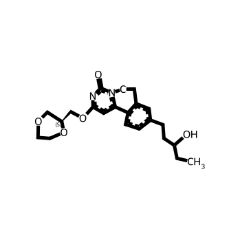 CCC(O)CCc1ccc2c(c1)CCn1c-2cc(OC[C@@H]2COCCO2)nc1=O